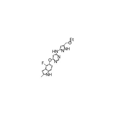 CCOCc1cc(Nc2cc(Oc3ccc4[nH]c(C)cc4c3F)ncn2)n[nH]1